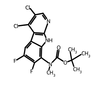 CN(C(=O)OC(C)(C)C)c1c(F)c(F)cc2c1[nH]c1ncc(Cl)c(Cl)c12